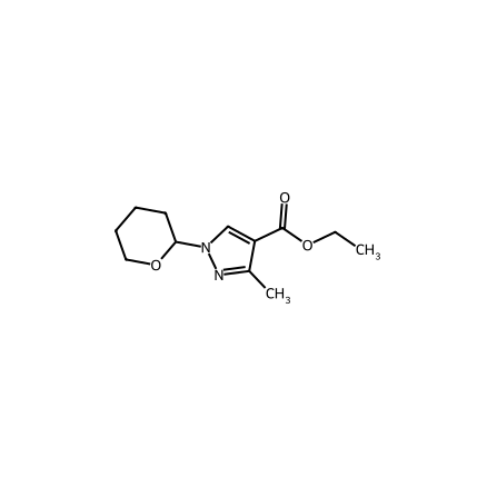 CCOC(=O)c1cn(C2CCCCO2)nc1C